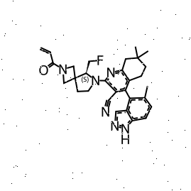 C=CC(=O)N1CC2(CCN(c3nc4c(c(-c5c(C)ccc6[nH]ncc56)c3C#N)CCC(C)(C)C4)[C@@H]2CF)C1